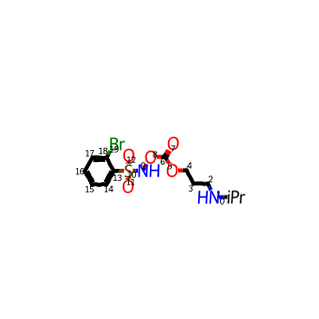 CC(C)NCCCOC(=O)ONS(=O)(=O)c1ccccc1Br